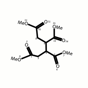 COC(=O)CC(C(=O)OC)C(CC(=O)OC)C(=O)OC